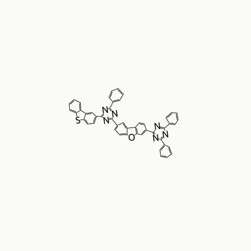 c1ccc(-c2nc(-c3ccccc3)nc(-c3ccc4c(c3)oc3ccc(-c5nc(-c6ccccc6)nc(-c6ccc7sc8ccccc8c7c6)n5)cc34)n2)cc1